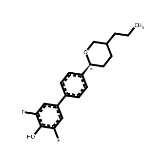 CCCC1CC[C@@H](c2ccc(-c3cc(F)c(O)c(F)c3)cc2)OC1